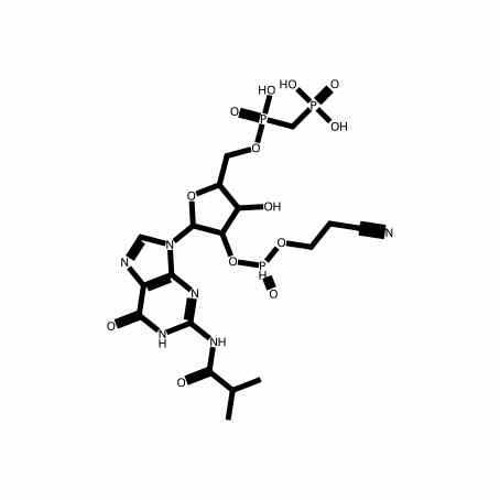 CC(C)C(=O)Nc1nc2c(ncn2C2OC(COP(=O)(O)CP(=O)(O)O)C(O)C2O[PH](=O)OCCC#N)c(=O)[nH]1